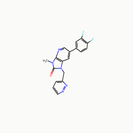 Cn1c(=O)n(Cc2cccnn2)c2cc(-c3ccc(F)c(F)c3)cnc21